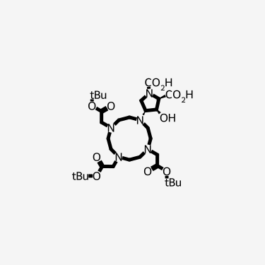 CC(C)(C)OC(=O)CN1CCN(CC(=O)OC(C)(C)C)CCN([C@@H]2CN(C(=O)O)[C@@H](C(=O)O)[C@H]2O)CCN(CC(=O)OC(C)(C)C)CC1